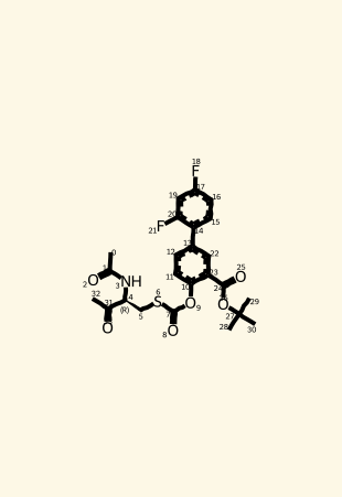 CC(=O)N[C@@H](CSC(=O)Oc1ccc(-c2ccc(F)cc2F)cc1C(=O)OC(C)(C)C)C(C)=O